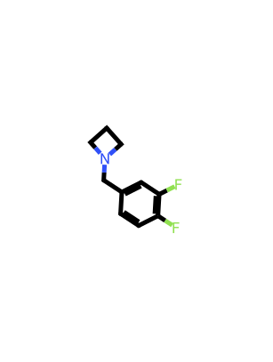 Fc1ccc(CN2CCC2)cc1F